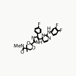 CNC(=O)C1(C)COC(c2nc(-c3ccc(F)cc3)c(-c3ccnc(Nc4ccc(F)c(F)c4)n3)[nH]2)OC1